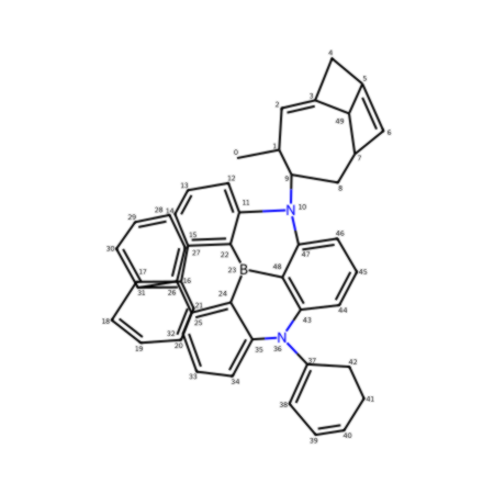 CC1C=C2CC3=CC(CC1N1c4cccc(-c5ccccc5)c4B4c5c(-c6ccccc6)cccc5N(C5=CC=CCC5)c5cccc1c54)C23